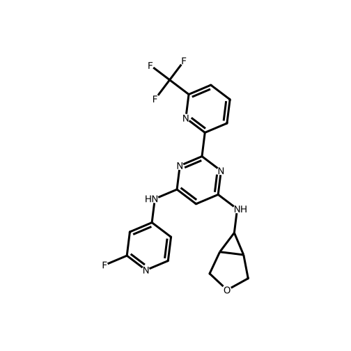 Fc1cc(Nc2cc(NC3C4COCC43)nc(-c3cccc(C(F)(F)F)n3)n2)ccn1